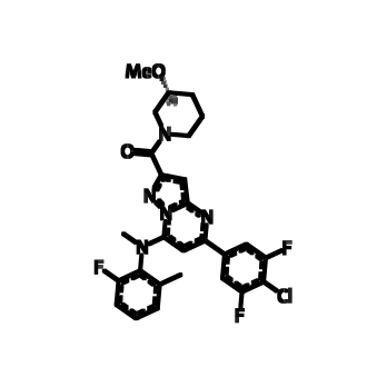 CO[C@@H]1CCCN(C(=O)c2cc3nc(-c4cc(F)c(Cl)c(F)c4)cc(N(C)c4c(C)cccc4F)n3n2)C1